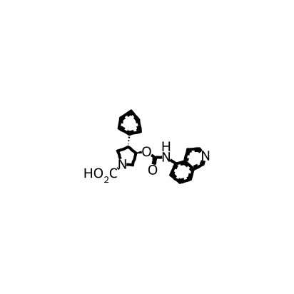 O=C(Nc1cccc2cnccc12)O[C@H]1CN(C(=O)O)C[C@@H]1c1ccccc1